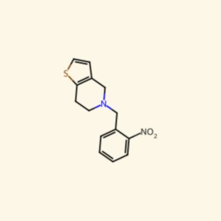 O=[N+]([O-])c1ccccc1CN1CCc2sccc2C1